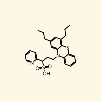 CCCc1cc(CCC)c2c(c1)N(CCC(c1ccccn1)S(=O)(=O)O)c1ccccc1S2